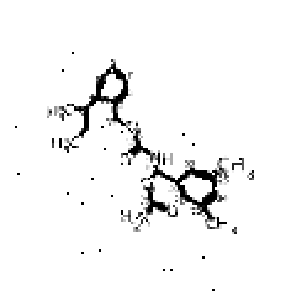 CCC(C)c1ccccc1COC(=O)NC(OC(N)=O)c1cc(C)cc(C)c1